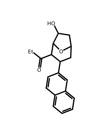 CCC(=O)C1C(c2ccc3ccccc3c2)CC2CC(O)C1O2